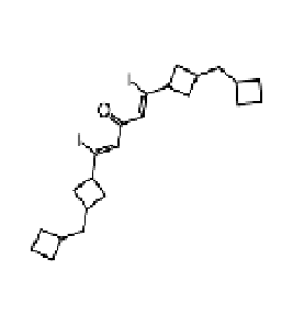 O=C(C=C(I)C1CC(CC2CCC2)C1)C=C(I)C1CC(CC2CCC2)C1